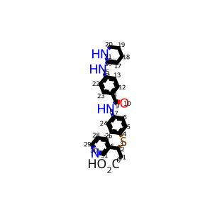 O=C(O)CC(Sc1ccc(NC(=O)c2ccc(NC3=CCCCN3)cc2)cc1)c1cccnc1